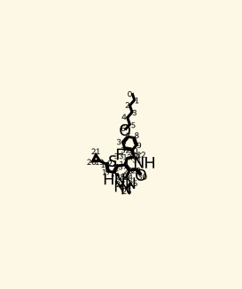 CCCCCCOc1ccc([C@]2(C)CC(c3ccc(C4CC4)s3)=C(c3nnn[nH]3)C(=O)N2)c(F)c1